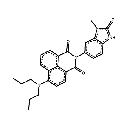 CCCN(CCC)c1ccc2c3c(cccc13)C(=O)N(c1ccc3[nH]c(=O)n(C)c3c1)C2=O